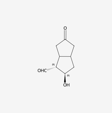 O=C[C@@H]1C2CC(=O)CC2C[C@H]1O